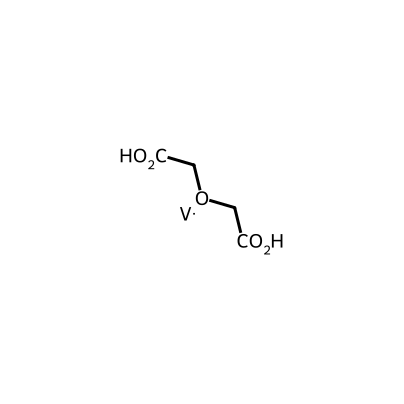 O=C(O)COCC(=O)O.[V]